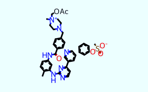 CC(=O)OC[N+]1(C)CCN(Cc2ccc(C(=O)Nc3ccc(C)c(Nc4nccc(-c5cccnc5)n4)c3)cc2)CC1.CS(=O)(=O)[O-].c1ccccc1